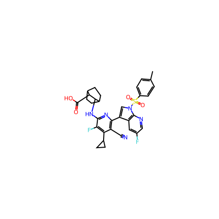 Cc1ccc(S(=O)(=O)n2cc(-c3nc(NC4C5CCC(CC5)C4C(=O)O)c(F)c(C4CC4)c3C#N)c3cc(F)cnc32)cc1